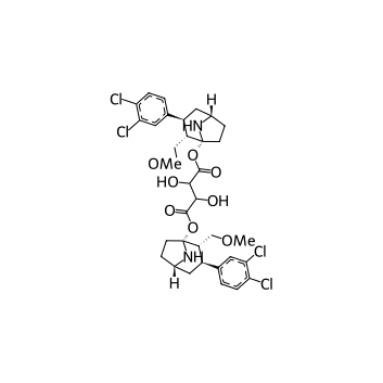 COC[C@@H]1[C@@H](c2ccc(Cl)c(Cl)c2)C[C@@H]2CC[C@]1(OC(=O)C(O)C(O)C(=O)O[C@]13CC[C@@H](C[C@H](c4ccc(Cl)c(Cl)c4)[C@H]1COC)N3)N2